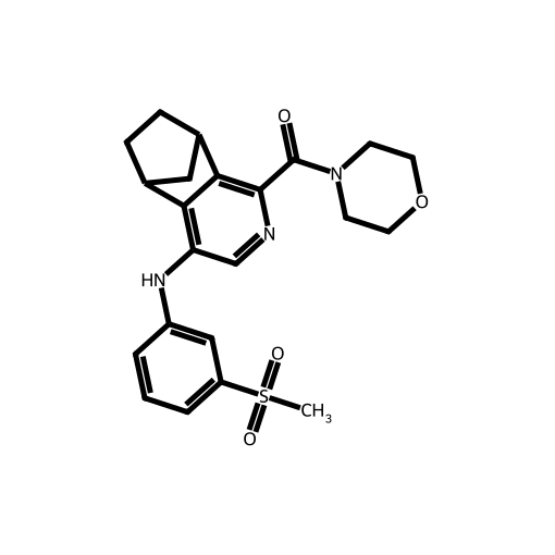 CS(=O)(=O)c1cccc(Nc2cnc(C(=O)N3CCOCC3)c3c2C2CCC3C2)c1